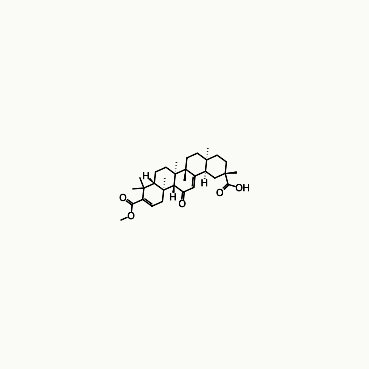 COC(=O)C1=CC[C@]2(C)[C@H]3C(=O)C=C4[C@@H]5C[C@@](C)(C(=O)O)CC[C@]5(C)CC[C@@]4(C)[C@]3(C)CC[C@H]2C1(C)C